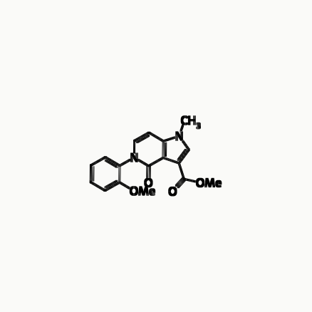 COC(=O)c1cn(C)c2ccn(-c3ccccc3OC)c(=O)c12